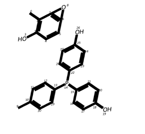 Cc1c(O)ccc2c1O2.Cc1ccc(P(c2ccc(O)cc2)c2ccc(O)cc2)cc1